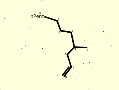 C=CCC(C)CC[CH]CCCCC